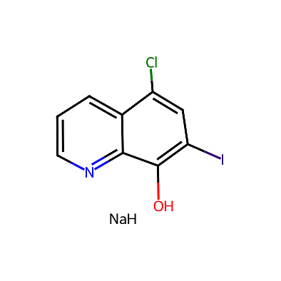 Oc1c(I)cc(Cl)c2cccnc12.[NaH]